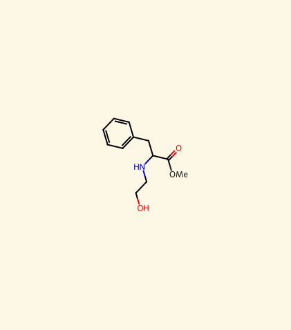 COC(=O)C(Cc1ccccc1)NCCO